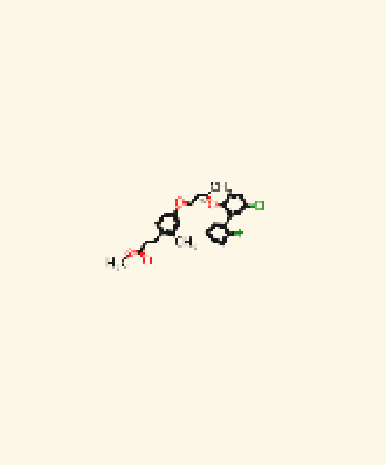 COC(=O)CCc1ccc(OCC[C@H](C)Oc2ccc(Cl)cc2-c2ccccc2F)cc1C